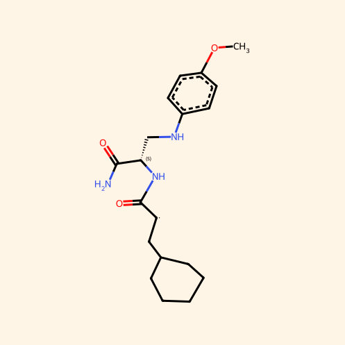 COc1ccc(NC[C@H](NC(=O)[CH]CC2CCCCC2)C(N)=O)cc1